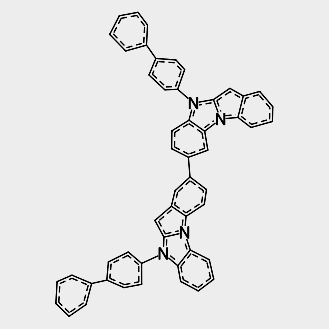 c1ccc(-c2ccc(-n3c4ccccc4n4c5ccc(-c6ccc7c(c6)n6c8ccccc8cc6n7-c6ccc(-c7ccccc7)cc6)cc5cc34)cc2)cc1